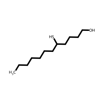 CCCCCCCC(S)CCCCO